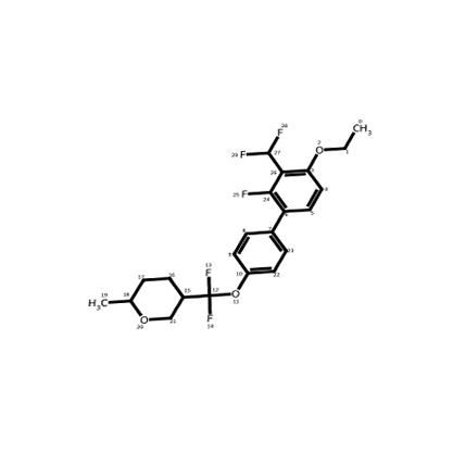 CCOc1ccc(-c2ccc(OC(F)(F)C3CCC(C)OC3)cc2)c(F)c1C(F)F